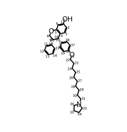 Oc1ccc2c(c1)OC[C@@H](c1ccccc1)[C@H]2c1ccc(OCCCCCCCCCCN2CCCC2)cc1